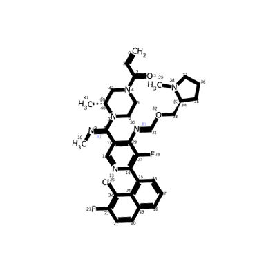 C=CC(=O)N1CCN(/C(=N/C)c2cnc(-c3cccc4ccc(F)c(Cl)c34)c(F)c2/N=C/OC[C@@H]2CCCN2C)[C@H](C)C1